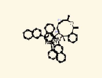 C=C1/C=C\C=C(\c2nc(-c3ccccc3)nc(-c3ccc4ccccc4c3)n2)C(C)(n2c3cc4ccccc4cc3c3ccc4ccccc4c32)c2ccccc2C(=C)O1